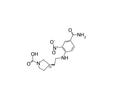 NC(=O)c1ccc(NCC[C@H]2CCN(C(=O)O)C2)c([N+](=O)[O-])c1